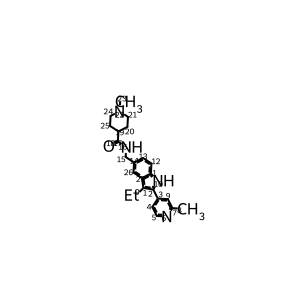 CCc1c(-c2ccnc(C)c2)[nH]c2ccc(CNC(=O)C3CCN(C)CC3)cc12